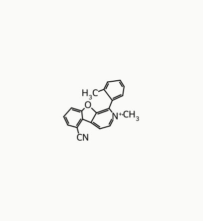 Cc1ccccc1-c1c2oc3cccc(C#N)c3c2cc[n+]1C